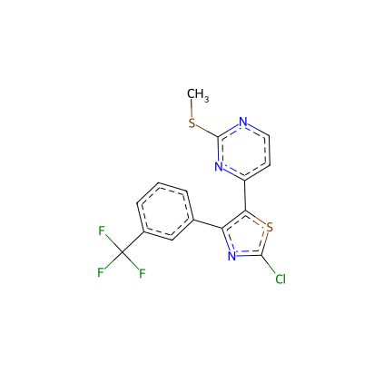 CSc1nccc(-c2sc(Cl)nc2-c2cccc(C(F)(F)F)c2)n1